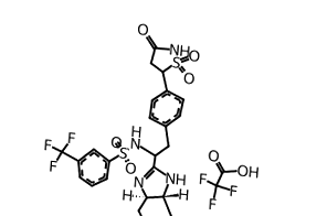 O=C(O)C(F)(F)F.O=C1CC(c2ccc(CC(NS(=O)(=O)c3cccc(C(F)(F)F)c3)C3=N[C@@H]4CCCC[C@H]4N3)cc2)S(=O)(=O)N1